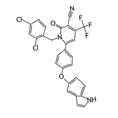 N#Cc1c(C(F)(F)F)cc(-c2ccc(Oc3ccc4[nH]ccc4c3)cc2)n(Cc2ccc(Cl)cc2Cl)c1=O